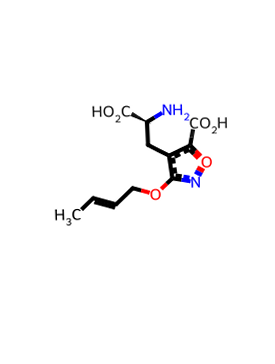 C/C=C/COc1noc(C(=O)O)c1C[C@H](N)C(=O)O